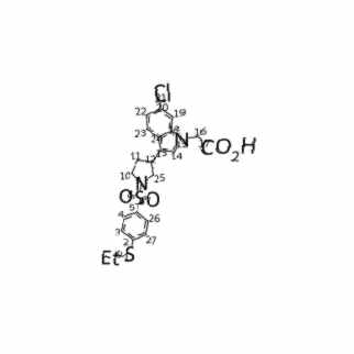 CCSc1ccc(S(=O)(=O)N2CCC(c3cn(CC(=O)O)c4cc(Cl)ccc34)C2)cc1